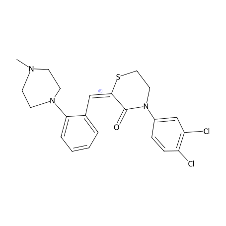 CN1CCN(c2ccccc2/C=C2/SCCN(c3ccc(Cl)c(Cl)c3)C2=O)CC1